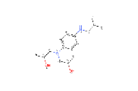 CC(C)CNc1ccc(N(CC(C)O)CC(C)O)cc1